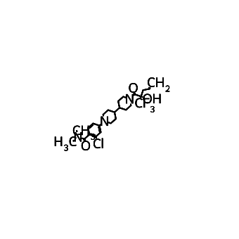 C=CCC(O)(C(=O)N1CCC(C2CCN(c3ccc(C(=O)N(C)C)c(Cl)c3)CC2)CC1)C(F)(F)F